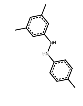 Cc1ccc(NNc2cc(C)cc(C)c2)cc1